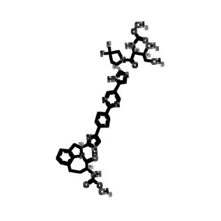 CC[C@H](C)[C@H](NC(=O)OC)C(=O)N1CC(F)(F)C[C@H]1c1ncc(-c2cnc(-c3ccc(-c4c[nH]c([C@@H]5Cc6cccc7c6N5C(=O)[C@@H](NC(=O)OC)CC7)n4)cc3)nc2)[nH]1